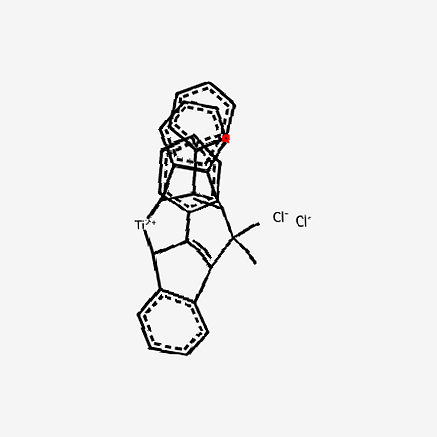 CC1(C)C2=C(c3ccccc3)[CH]([Ti+2][CH]3C(c4ccccc4)=C1c1ccccc13)c1ccccc12.[Cl-].[Cl-]